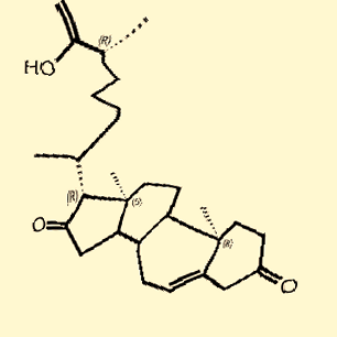 C=C(O)[C@H](C)CCCC(C)[C@H]1C(=O)CC2C3CC=C4CC(=O)CC[C@]4(C)C3CC[C@@]21C